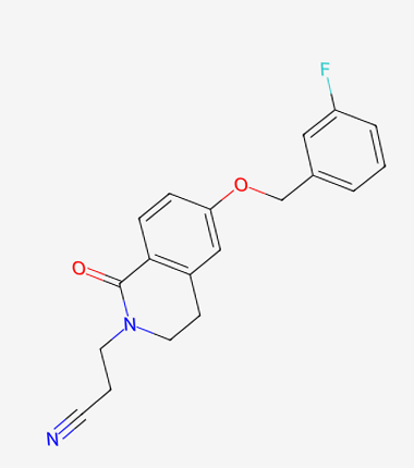 N#CCCN1CCc2cc(OCc3cccc(F)c3)ccc2C1=O